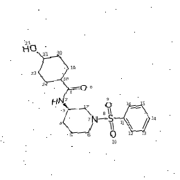 O=C(N[C@@H]1CCCN(S(=O)(=O)c2ccccc2)C1)C1CCC(O)CC1